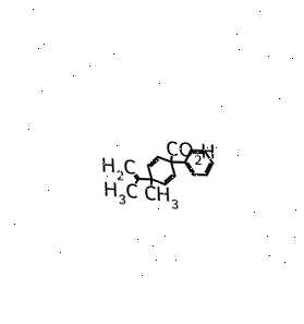 C=C(C)C1(C)C=CC(C(=O)O)(c2ccccc2)C=C1